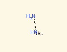 CC(C)(C)NCCCCCCCCCN